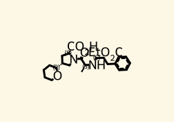 CCOC(=O)[C@H](CCc1ccccc1)N[C@@H](C)C(=O)N1CC([C@H]2CCCCO2)C[C@H]1C(=O)O